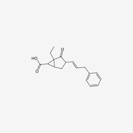 CCC12C(=O)C(C=CCc3ccccc3)CC1C2C(=O)O